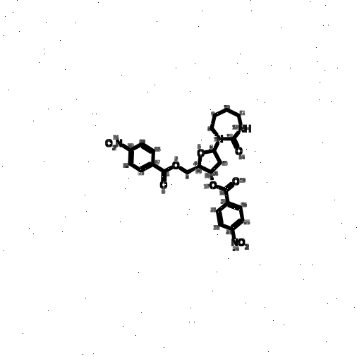 O=C(OC[C@H]1OC(N2CCCCNC2=O)C[C@@H]1OC(=O)c1ccc([N+](=O)[O-])cc1)c1ccc([N+](=O)[O-])cc1